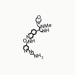 CN/C(CN1CCOCC1)=C(\C=N)c1ccc2cnc(NC(=O)c3ccnc(N4CC(N)C4)c3)cc2c1